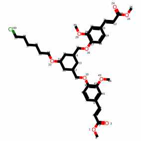 COC(=O)C=Cc1ccc(OCC2CC(COc3ccc(C=CC(=O)OC)cc3OC)CC(OCCCCCCCl)C2)c(OC)c1